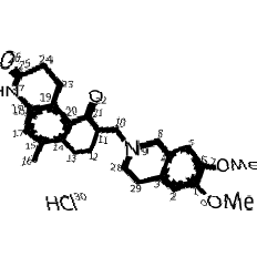 COc1cc2c(cc1OC)CN(CC1CCc3c(C)cc4c(c3C1=O)CCC(=O)N4)CC2.Cl